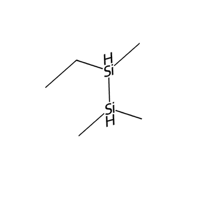 CC[SiH](C)[SiH](C)C